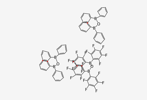 Fc1c(F)c(F)c(B(OB(c2c(F)c(F)c(F)c(F)c2F)c2c(F)c(F)c(F)c(F)c2F)c2c(F)c(F)c(F)c(F)c2F)c(F)c1F.c1ccc(B(OB(c2ccccc2)c2ccccc2)c2ccccc2)cc1.c1ccc(B(OB(c2ccccc2)c2ccccc2)c2ccccc2)cc1